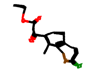 CCOC(=O)C(=O)c1ccc2cc(Cl)sc2c1C